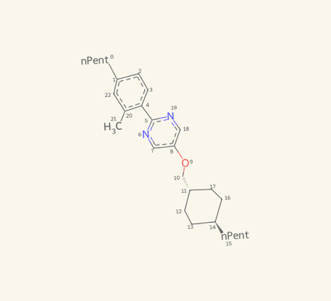 CCCCCc1ccc(-c2ncc(OC[C@H]3CC[C@H](CCCCC)CC3)cn2)c(C)c1